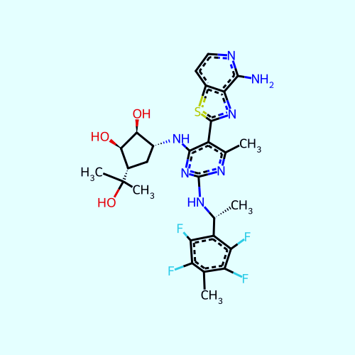 Cc1nc(N[C@H](C)c2c(F)c(F)c(C)c(F)c2F)nc(N[C@@H]2C[C@H](C(C)(C)O)[C@@H](O)[C@H]2O)c1-c1nc2c(N)nccc2s1